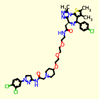 Cc1sc2c(c1C)C(c1ccc(Cl)cc1)=N[C@@H](CC(=O)NCCOCCOCCOC1CCN(CC(=O)NC3=NN(c4ccc(Cl)c(Cl)c4)CC3)CC1)c1nnc(C)n1-2